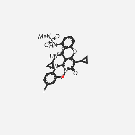 CNS(=O)(=O)Nc1cccc(Oc2c(C(=O)NC3CC3)c(Nc3ccc(I)cc3F)n(C)c(=O)c2C2CC2)c1Cl